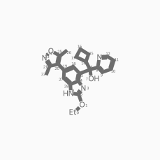 CCOc1nc2c(C(O)(c3ccccn3)C3CCC3)cc(-c3c(C)noc3C)cc2[nH]1